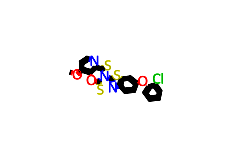 COc1ccnc2c(=S)n(-c3nc4ccc(Oc5ccccc5Cl)cc4s3)c(=S)oc12